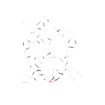 CCCCOc1ccc(CC(=O)Nc2ccn(CCNC3(C)C[C@H](O[C@H]4C(Oc5c6cc7cc5Oc5ccc(cc5Cl)[C@@H](O)[C@H]5NC(=O)[C@@H](NC(=O)C7NC(=O)[C@H](CC(N)=O)NC(=O)[C@H](NC(=O)[C@H](CC(C)C)NC)[C@H](O)c7ccc(c(Cl)c7)O6)c6ccc(O)c(c6)-c6c(O)cc(O)cc6[C@H](C(=O)O)NC5=O)O[C@@H](CO)[C@@H](O)[C@H]4O)O[C@H](C)[C@@H]3O)c(=O)n2)cc1